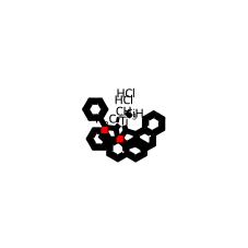 Cl.Cl.[CH3][Ti]([CH3])(=[SiH2])([CH]1C(c2ccccc2)=Cc2ccc3ccccc3c21)[CH]1C(c2ccccc2)=Cc2ccc3ccccc3c21